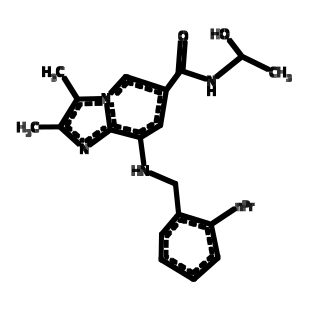 CCCc1ccccc1CNc1cc(C(=O)NC(C)O)cn2c(C)c(C)nc12